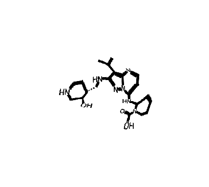 CC(C)c1c(NC[C@H]2CCNC[C@@H]2O)nn2c(NC3CCCCN3C(=O)O)ccnc12